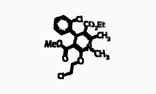 CCOC(=O)C1=C(C)N(C)C(OCCCl)=C(C(=O)OC)C1c1ccccc1Cl